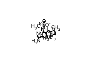 COS(=O)(=O)[O-].Cc1nc2c(N)cnn2c(N)c1Cc1n(C)cc[n+]1C